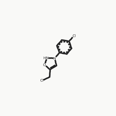 ClCC1=CN(c2ccc(Cl)cc2)NO1